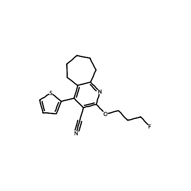 N#Cc1c(OCCCF)nc2c(c1-c1cccs1)CCCCC2